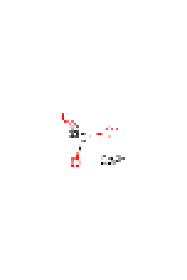 O=[13C]([O-])[O-].[Ca+2]